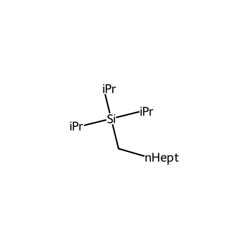 [CH2]CCCCCCC[Si](C(C)C)(C(C)C)C(C)C